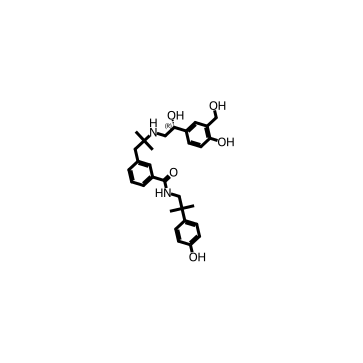 CC(C)(Cc1cccc(C(=O)NCC(C)(C)c2ccc(O)cc2)c1)NC[C@H](O)c1ccc(O)c(CO)c1